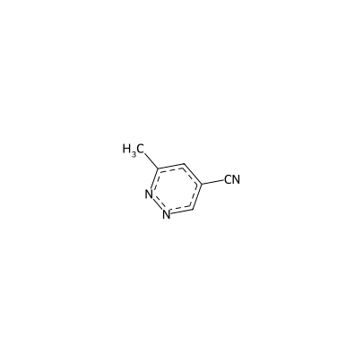 Cc1cc(C#N)cnn1